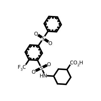 O=C(O)C1CCCC(NS(=O)(=O)c2cc(S(=O)(=O)c3ccccc3)ccc2C(F)(F)F)C1